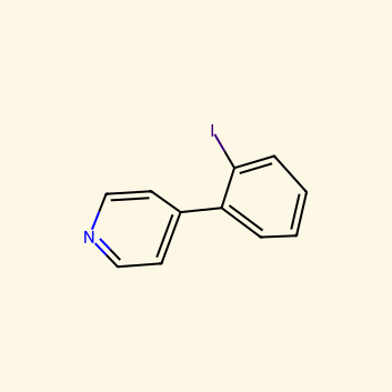 Ic1ccccc1-c1ccncc1